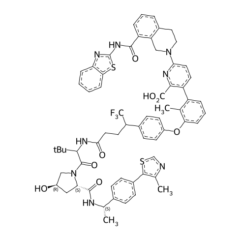 Cc1ncsc1-c1ccc([C@H](C)NC(=O)[C@@H]2C[C@@H](O)CN2C(=O)C(NC(=O)CCC(c2ccc(Oc3cccc(-c4ccc(N5CCc6cccc(C(=O)Nc7nc8ccccc8s7)c6C5)nc4C(=O)O)c3C)cc2)C(F)(F)F)C(C)(C)C)cc1